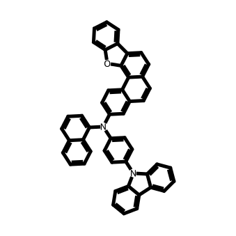 c1ccc2c(N(c3ccc(-n4c5ccccc5c5ccccc54)cc3)c3ccc4c(ccc5ccc6c7ccccc7oc6c54)c3)cccc2c1